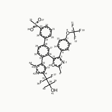 Cc1nc(-c2ccc(OC(F)(F)F)cc2)c(-c2cc(-c3cccc(S(C)(=O)=O)c3)ccc2-c2cc(C(F)(F)C(C)(C)O)nn2C)o1